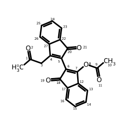 CC(=O)CC1=C(C2=C(OC(C)=O)c3ccccc3C2=O)C(=O)c2ccccc21